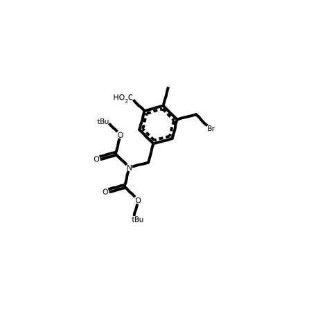 Cc1c(CBr)cc(CN(C(=O)OC(C)(C)C)C(=O)OC(C)(C)C)cc1C(=O)O